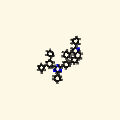 c1ccc(-c2cc(-c3ccccc3)cc(-c3nc(-c4ccccc4)nc(-c4ccc(-c5ccc6ccc7nc(-c8ccccc8)cc(-c8ccccc8)c7c6c5)cc4)n3)c2)cc1